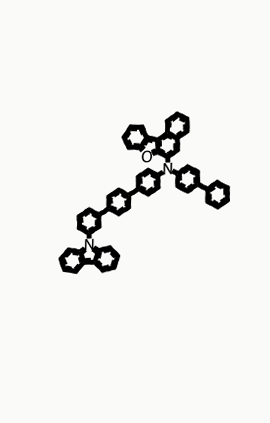 c1ccc(-c2ccc(N(c3ccc(-c4ccc(-c5cccc(-n6c7ccccc7c7ccccc76)c5)cc4)cc3)c3cc4ccccc4c4c3oc3ccccc34)cc2)cc1